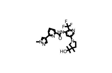 Cn1cc(-c2cccc(C(=O)Nc3cc(N4CCC(C)(C(C)(C)O)C4)cnc3C(F)(F)F)n2)cn1